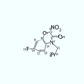 CC(C)CN1C(=O)C([N+](=O)[O-])Oc2cc(F)ccc21